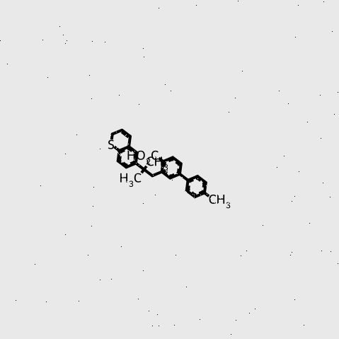 Cc1ccc(-c2ccc(C(=O)O)c(CC(C)(C)c3ccc4c(c3)C=CCS4)c2)cc1